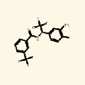 Cc1ccc([C@@H](NC(=O)c2cccc(C(F)(F)F)c2)C(F)(F)F)cc1N